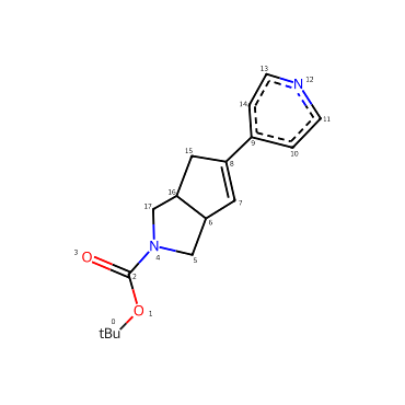 CC(C)(C)OC(=O)N1CC2C=C(c3ccncc3)CC2C1